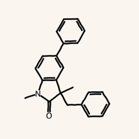 CN1C(=O)C(C)(Cc2ccccc2)c2cc(-c3ccccc3)ccc21